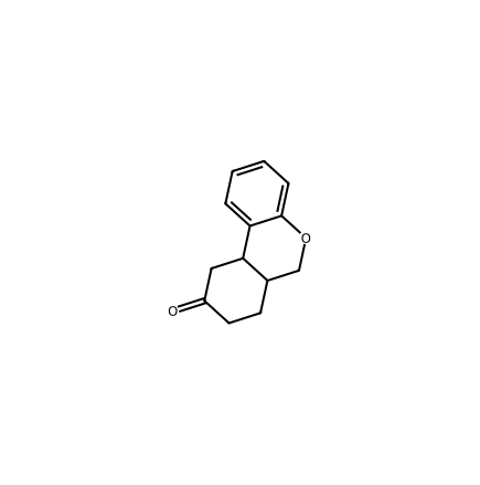 O=C1CCC2COc3ccccc3C2C1